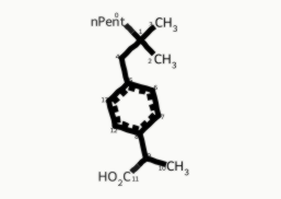 CCCCCC(C)(C)Cc1ccc(C(C)C(=O)O)cc1